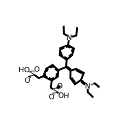 CCN(CC)c1ccc(C(=C2C=CC(=[N+](CC)CC)C=C2)c2ccc(CS(=O)(=O)O)c(CS(=O)(=O)O)c2)cc1